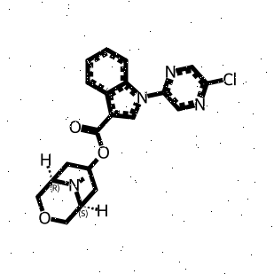 CN1[C@@H]2COC[C@H]1CC(OC(=O)c1cn(-c3cnc(Cl)cn3)c3ccccc13)C2